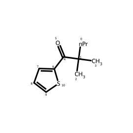 CCCC(C)(C)C(=O)c1cccs1